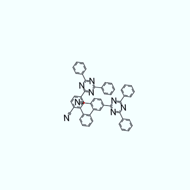 N#Cc1ccc(-c2nc(-c3ccccc3)nc(-c3ccccc3)n2)cc1-c1ccccc1-c1cc(-c2nc(-c3ccccc3)nc(-c3ccccc3)n2)ccc1C#N